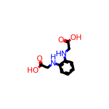 O=C(O)CNc1ccccc1NCC(=O)O